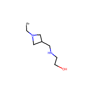 CC(C)CN1CC(CNCCO)C1